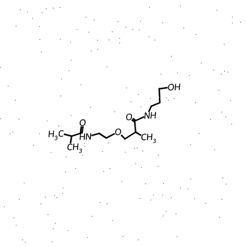 CC(C)C(=O)NCCOCC(C)C(=O)NCCCO